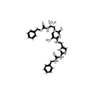 Cc1cn(C[C@H](NC(=O)OCc2ccccc2)C(=O)O)c(=O)nc1NCc1csc(NC(=O)NCc2ccccc2)n1